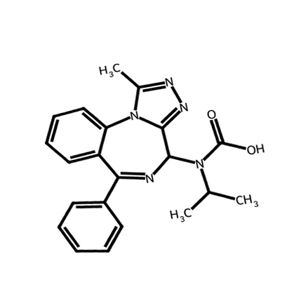 Cc1nnc2n1-c1ccccc1C(c1ccccc1)=NC2N(C(=O)O)C(C)C